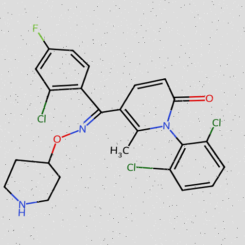 Cc1c(C(=NOC2CCNCC2)c2ccc(F)cc2Cl)ccc(=O)n1-c1c(Cl)cccc1Cl